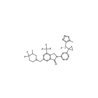 CC1CN(Cc2cc3c(c(C(F)(F)F)c2)CN(c2cccc(C4([C@H](F)c5nncn5C)CC4)c2)C3=O)CCC1(F)F